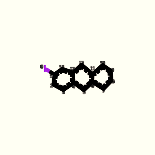 Ic1ccc2cc3ccccc3cc2c1